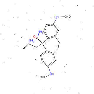 C[C@@H](N)CC1(C(N)=O)c2ccc(NC=O)cc2CCc2cc(NC=O)ccc21